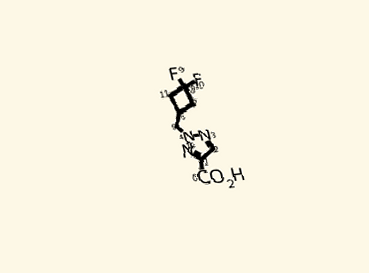 O=C(O)c1cnn(CC2CC(F)(F)C2)n1